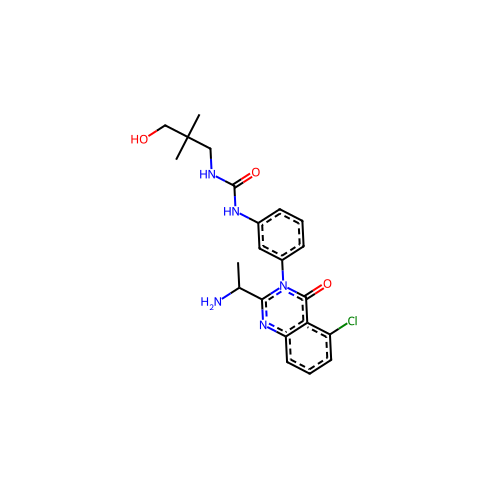 CC(N)c1nc2cccc(Cl)c2c(=O)n1-c1cccc(NC(=O)NCC(C)(C)CO)c1